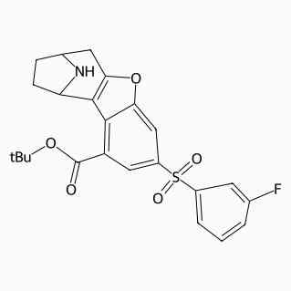 CC(C)(C)OC(=O)c1cc(S(=O)(=O)c2cccc(F)c2)cc2oc3c(c12)C1CCC(C3)N1